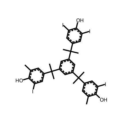 Cc1cc(C(C)(C)c2cc(C(C)(C)c3cc(C)c(O)c(I)c3)cc(C(C)(C)c3cc(I)c(O)c(I)c3)c2)cc(I)c1O